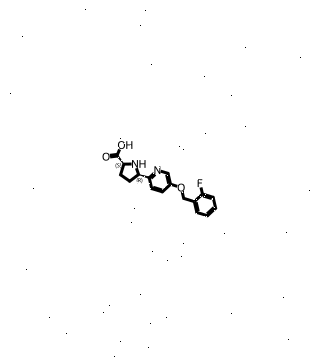 O=C(O)[C@@H]1CC[C@H](c2ccc(OCc3ccccc3F)cn2)N1